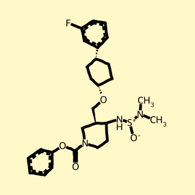 CN(C)[S+]([O-])NC1CCN(C(=O)Oc2ccccc2)C[C@H]1CO[C@H]1CC[C@@H](c2cccc(F)c2)CC1